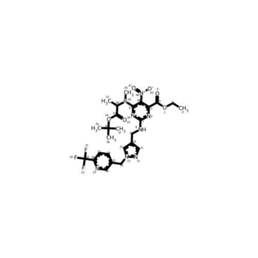 CCOC(=O)c1nc(NCc2cnn(Cc3ccc(C(F)(F)F)nc3)c2)nc(N(C)C(C)C(=O)OC(C)(C)C)c1[N+](=O)[O-]